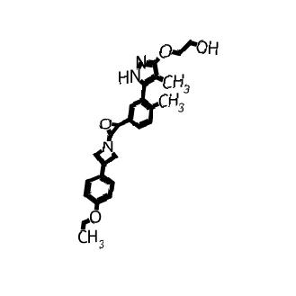 CCOc1ccc(C2CN(C3OC3c3ccc(C)c(-c4[nH]nc(OCCO)c4C)c3)C2)cc1